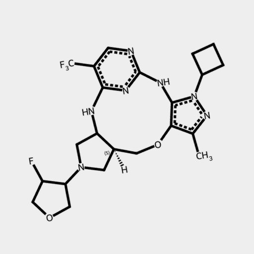 Cc1nn(C2CCC2)c2c1OC[C@H]1CN(C3COCC3F)CC1Nc1nc(ncc1C(F)(F)F)N2